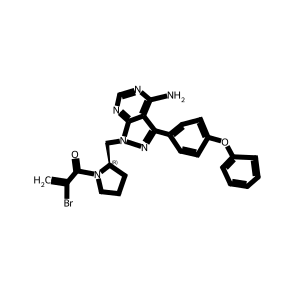 C=C(Br)C(=O)N1CCC[C@@H]1Cn1nc(-c2ccc(Oc3ccccc3)cc2)c2c(N)ncnc21